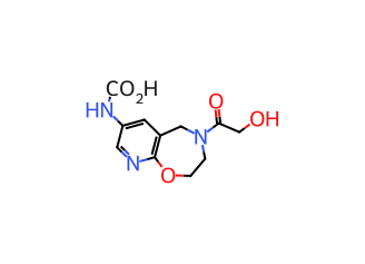 O=C(O)Nc1cnc2c(c1)CN(C(=O)CO)CCO2